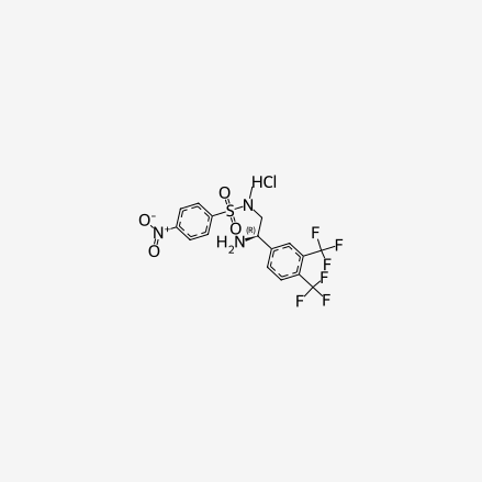 CN(C[C@H](N)c1ccc(C(F)(F)F)c(C(F)(F)F)c1)S(=O)(=O)c1ccc([N+](=O)[O-])cc1.Cl